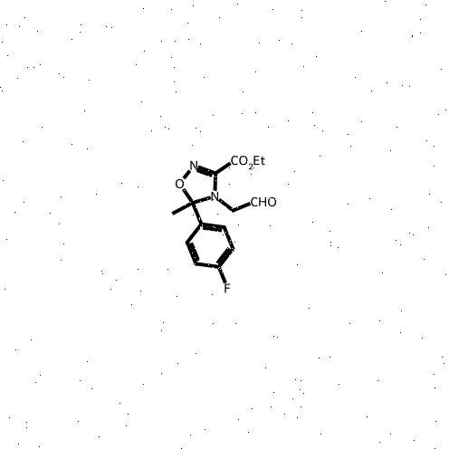 CCOC(=O)C1=NOC(C)(c2ccc(F)cc2)N1CC=O